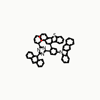 c1ccc(-c2nc(-c3ccc(-n4c5ccccc5c5cc6ccccc6cc54)cc3-c3cc4ccccc4c4sc5ccccc5c34)nc(-c3c4ccccc4cc4ccccc34)n2)cc1